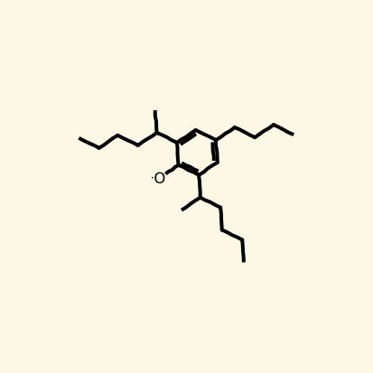 CCCCc1cc(C(C)CCCC)c([O])c(C(C)CCCC)c1